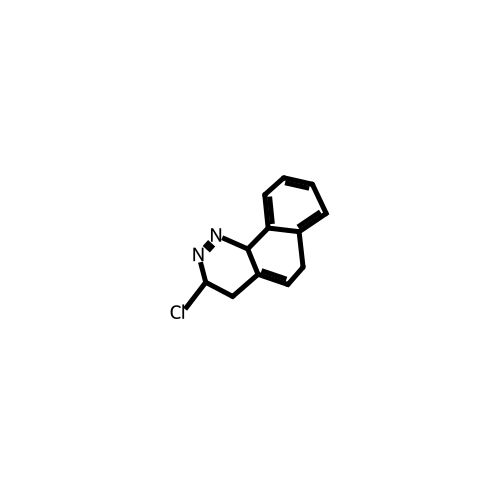 ClC1CC2=CCc3ccccc3C2N=N1